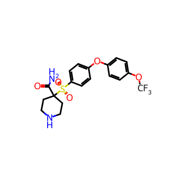 NC(=O)C1(S(=O)(=O)c2ccc(Oc3ccc(OC(F)(F)F)cc3)cc2)CCNCC1